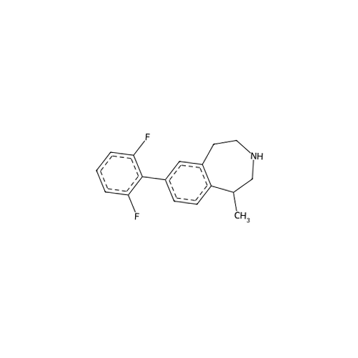 CC1CNCCc2cc(-c3c(F)cccc3F)ccc21